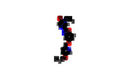 COc1ccc(COc2ccc3oc(-c4cn(C)c(=O)cn4)nc3c2)nc1